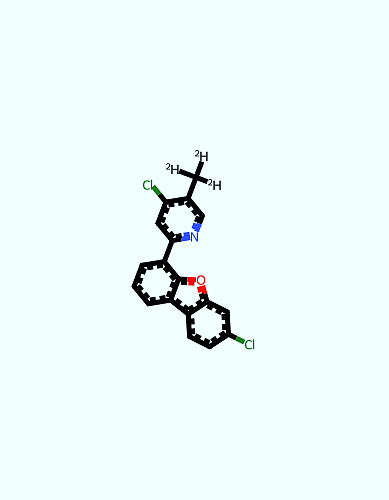 [2H]C([2H])([2H])c1cnc(-c2cccc3c2oc2cc(Cl)ccc23)cc1Cl